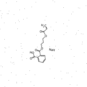 C=CC(=O)OCCCOC(=O)c1ccccc1C(=O)O.[NaH]